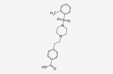 Cc1ccccc1S(=O)(=O)N1CCN(CCc2ccc(C(=O)O)cc2)CC1